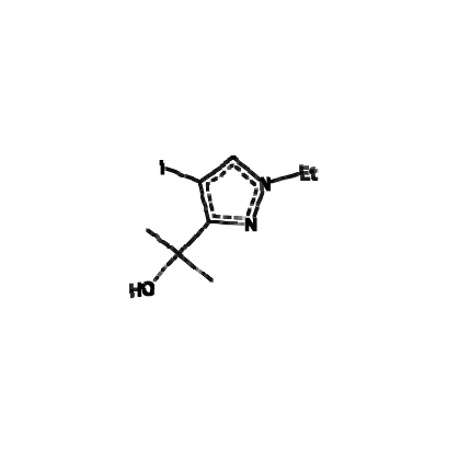 CCn1cc(I)c(C(C)(C)O)n1